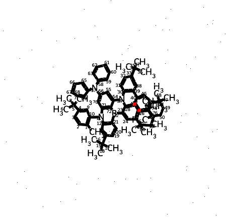 Cc1ccc(C(C)(C)C)cc1N1c2cc(C(C)(C)C)ccc2B2c3cc4c(cc3N(c3ccc(C(C)(C)C)cc3-c3ccc5c(c3)C(C)(C)CCC5(C)C)c3cc(N(c5ccccc5)c5ccccc5)cc1c32)C(C)(C)CCC4(C)C